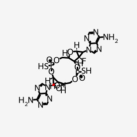 Nc1ncnc2c1ncn2C1[C@@H]2O[C@@H]3COP(=O)(S)O[C@@H]4[C@H](O)[C@@H](COP(=O)(S)O[C@H]3[C@@]12F)O[C@H]4n1cnc2c(N)ncnc21